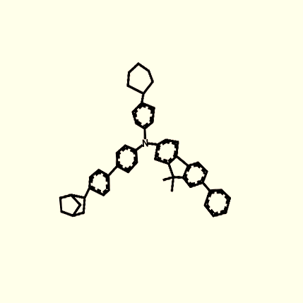 CC1(C)c2cc(-c3ccccc3)ccc2-c2ccc(N(c3ccc(-c4ccc(C5CC6CCC5C6)cc4)cc3)c3ccc(C4CCCCC4)cc3)cc21